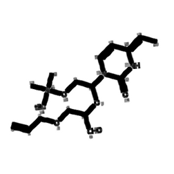 C=CCOCC(C=O)OC(CO[Si](C)(C)C(C)(C)C)N1C=C/C(=C/C)NC1=O